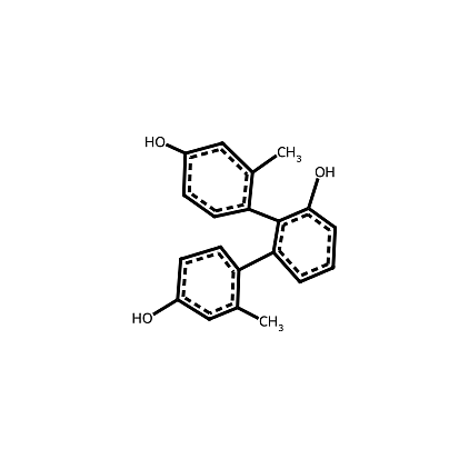 Cc1cc(O)ccc1-c1cccc(O)c1-c1ccc(O)cc1C